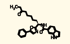 CCC(=O)CCCCC[C@H](NC(=O)c1ccc2cc[nH]c2c1)c1ncc(-c2ccccc2)o1